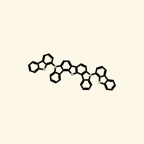 c1ccc2c(c1)oc1c(-n3c4ccccc4c4c5oc6c(ccc7c6c6ccccc6n7-c6cccc7c6oc6ccccc67)c5ccc43)cccc12